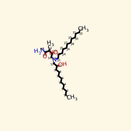 CCCCCCCCCCC(O)CN(CCC(C)C(N)=O)CC(O)CCCCCCCCCC